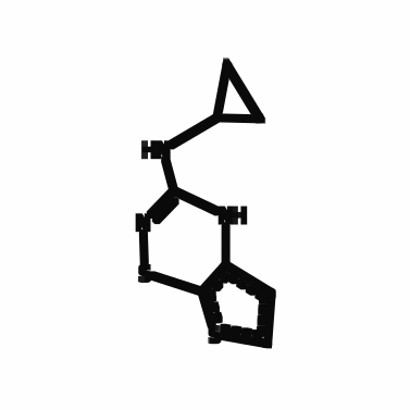 c1cc2c(s1)SN=C(NC1CC1)N2